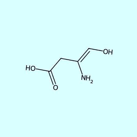 N/C(=C\O)CC(=O)O